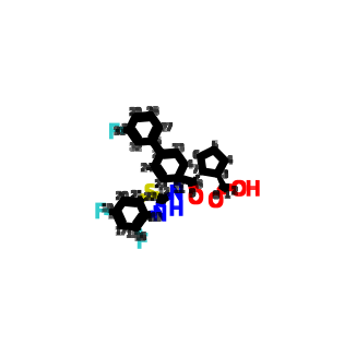 O=C(O)[C@@H]1CCC[C@H]1C(=O)C1(Nc2nc3c(F)cc(F)cc3s2)C=CC(c2cccc(F)c2)=CC1